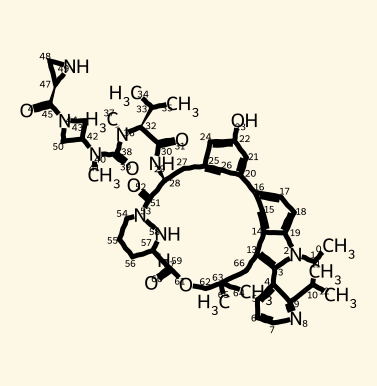 CCn1c(-c2cccnc2C(C)C)c2c3cc(ccc31)-c1cc(O)cc(c1)C[C@H](NC(=O)[C@H](C(C)C)N(C)C(=O)N(C)C1CN(C(=O)[C@H]3CN3)C1)C(=O)N1CCC[C@H](N1)C(=O)OCC(C)(C)C2